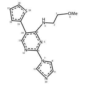 COCCNc1nc(-n2ccnc2)ncc1-c1cccs1